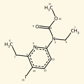 CCc1nc(N(CC)C(=O)OC)ccc1I